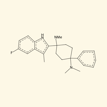 CNC1(c2[nH]c3ccc(F)cc3c2C)CCC(c2ccccc2)(N(C)C)CC1